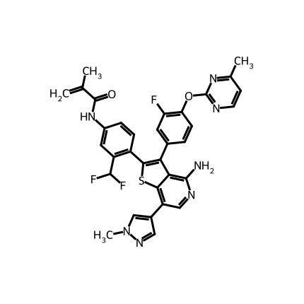 C=C(C)C(=O)Nc1ccc(-c2sc3c(-c4cnn(C)c4)cnc(N)c3c2-c2ccc(Oc3nccc(C)n3)c(F)c2)c(C(F)F)c1